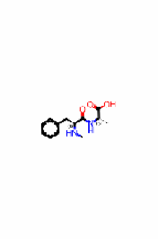 CN[C@@H](Cc1ccccc1)C(=O)N[C@@H](C)C(=O)O